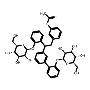 CC(=O)Oc1cccc(CC(c2cccc(-c3ccccc3O[C@@H]3O[C@H](CO)[C@@H](O)[C@H](O)[C@@H]3O)c2)c2ccccc2O[C@@H]2O[C@H](CO)[C@@H](O)[C@H](O)[C@@H]2O)c1